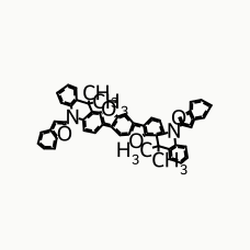 CC1(C)c2ccccc2N(c2cc3ccccc3o2)c2ccc3c(oc4cc5c(cc43)oc3c4c(ccc35)N(c3cc5ccccc5o3)c3ccccc3C4(C)C)c21